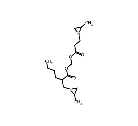 CCCCC(CN1CC1C)C(=O)OCOC(=O)CCN1CC1C